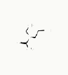 COC(=O)N(CO)CCO